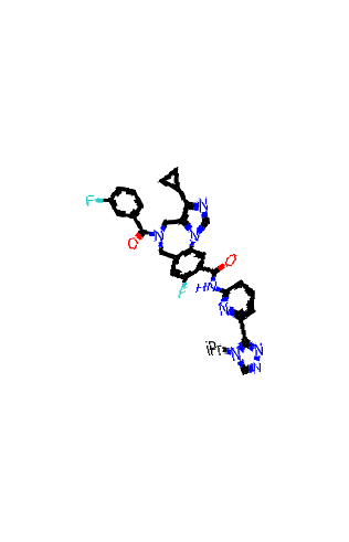 CC(C)n1cnnc1-c1cccc(NC(=O)c2cc3c(cc2F)CN(C(=O)c2cccc(F)c2)Cc2c(C4CC4)ncn2-3)n1